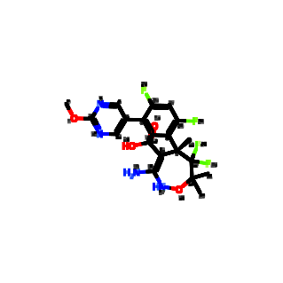 COc1ncc(-c2cc([C@@]3(C)C(C(=O)O)=C(N)NOC(C)(C)C3(F)F)c(F)cc2F)cn1